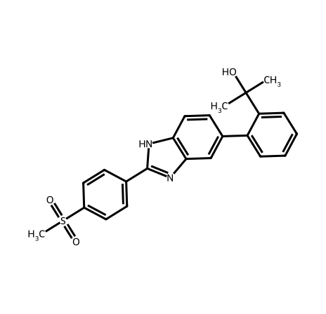 CC(C)(O)c1ccccc1-c1ccc2[nH]c(-c3ccc(S(C)(=O)=O)cc3)nc2c1